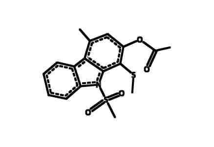 CSc1c(OC(C)=O)cc(C)c2c3ccccc3n(S(C)(=O)=O)c12